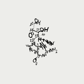 COc1nc(N)nc2c1ncn2C1O[C@H](CO)[C@@H](O)[C@@]1(C)N=[N+]=[N-]